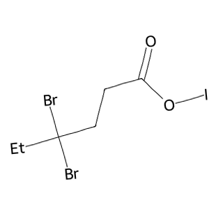 CCC(Br)(Br)CCC(=O)OI